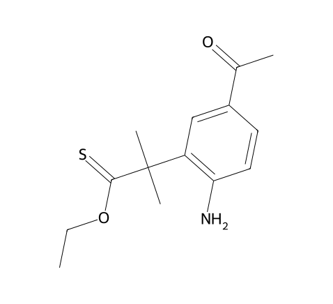 CCOC(=S)C(C)(C)c1cc(C(C)=O)ccc1N